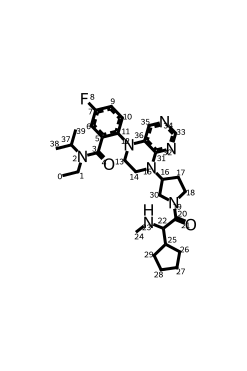 CCN(C(=O)c1cc(F)ccc1N1CCN(C2CCN(C(=O)C(NC)C3CCCC3)C2)c2ncncc21)C(C)C